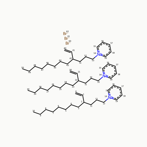 C=CC(CCCCCCCC)CCC[n+]1ccccc1.C=CC(CCCCCCCC)CCC[n+]1ccccc1.C=CC(CCCCCCCC)CCC[n+]1ccccc1.[Br-].[Br-].[Br-]